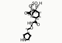 O=C(NOC[C@@H]1CCNC1)[C@@H]1CC[C@@H]2CN1C(=O)N2OS(=O)(=O)O